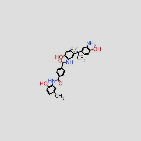 Cc1ccc(O)c(NC(=O)c2ccc(C(=O)Nc3cc(C(c4ccc(O)c(N)c4)(C(F)(F)F)C(F)(F)F)ccc3O)cc2)c1